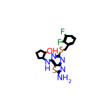 Nc1nc2nc(SCc3cccc(F)c3F)nc(NC3CCCC3O)c2s1